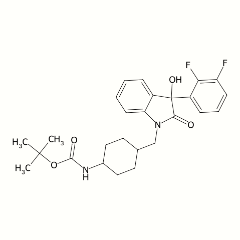 CC(C)(C)OC(=O)NC1CCC(CN2C(=O)C(O)(c3cccc(F)c3F)c3ccccc32)CC1